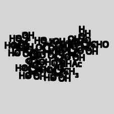 CC(=O)N[C@H]1[C@H](OC2[C@@H](O)[C@H](O[C@H]3C(O[C@@H]4O[C@@H](C)[C@@H](O)[C@@H](O)C4O)[C@@H](NC(C)=O)[C@H](O[C@@H]4C(O)[C@H](O[C@@H]([C@H](O)[C@@H](O)C=O)[C@H](O)CO)O[C@H](CO)[C@@H]4O)O[C@@H]3CO)O[C@H](CO)[C@@H]2O)O[C@H](CO)[C@@H](O[C@@H]2O[C@@H](C)[C@@H](O)[C@@H](O)[C@@H]2O)[C@@H]1O[C@@H]1O[C@H](CO)[C@H](O)[C@H](O)[C@H]1O